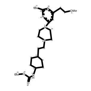 COCCc1cc(N2CCN(CCC3CCC(NC(=O)OC(C)(C)C)CC3)CC2)nc(C(C)(C)C)n1